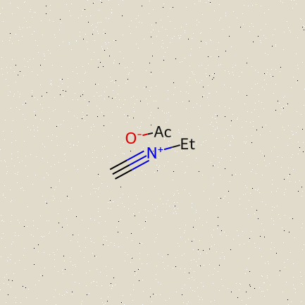 C#[N+]CC.CC(=O)[O-]